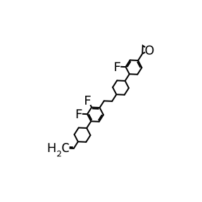 C=CC1CCC(c2ccc(CCC3CCC(C4CC=C(C5CO5)C=C4F)CC3)c(F)c2F)CC1